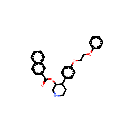 O=C(OC1CNCCC1c1ccc(OCCOc2ccccc2)cc1)c1ccc2ccccc2c1